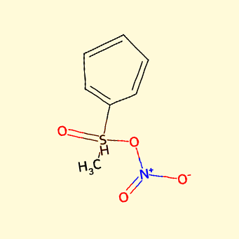 C[SH](=O)(O[N+](=O)[O-])c1ccccc1